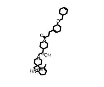 CC1=CCCC2NCC3(CCN(C[C@@H](O)C4CCN(C(=O)CCC5=CCCC(OCC6CC=CCC6)C5)CC4)CC3)[C@H]12